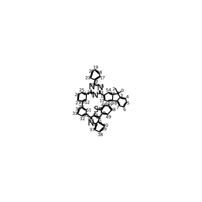 CC1(C)c2ccccc2-c2ccc(-c3nc(-c4ccccc4)nc(-c4cccc(-c5cccc(-c6nc7ccccc7c7c6sc6ccccc67)c5)c4)n3)cc21